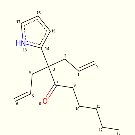 C=CCC(CC=C)(C(=O)CCCCC)c1ccc[nH]1